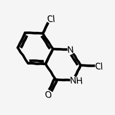 O=c1[nH]c(Cl)nc2c(Cl)cccc12